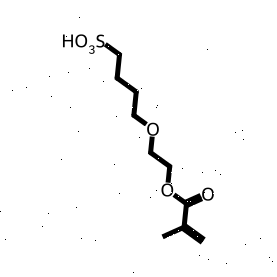 C=C(C)C(=O)OCCOCCCCS(=O)(=O)O